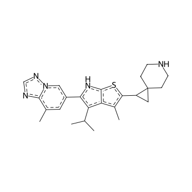 Cc1c(C2CC23CCNCC3)sc2[nH]c(-c3cc(C)c4ncnn4c3)c(C(C)C)c12